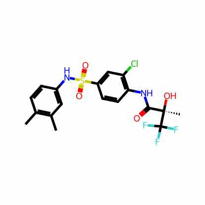 Cc1ccc(NS(=O)(=O)c2ccc(NC(=O)[C@@](C)(O)C(F)(F)F)c(Cl)c2)cc1C